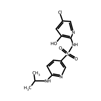 CC(C)Nc1ccc(S(=O)(=O)Nc2ncc(Cl)cc2O)cn1